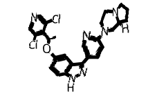 C[C@@H](Oc1ccc2[nH]nc(-c3ccc(N4CCN5CCC[C@@H]5C4)nc3)c2c1)c1c(Cl)cncc1Cl